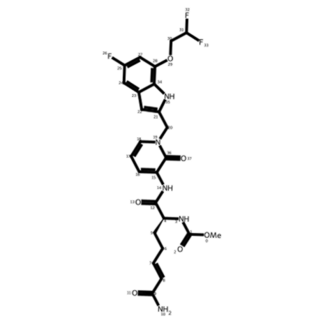 COC(=O)N[C@@H](CC/C=C/C(N)=O)C(=O)Nc1cccn(Cc2cc3cc(F)cc(OCC(F)F)c3[nH]2)c1=O